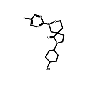 O=C1N(C2CCC(O)CC2)CCC12CCCN(c1ncc(F)cn1)C2